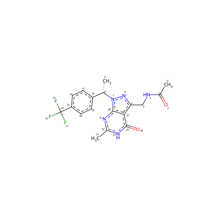 CC(=O)NCc1nn([C@@H](C)c2ccc(C(F)(F)F)cc2)c2nc(C)[nH]c(=O)c12